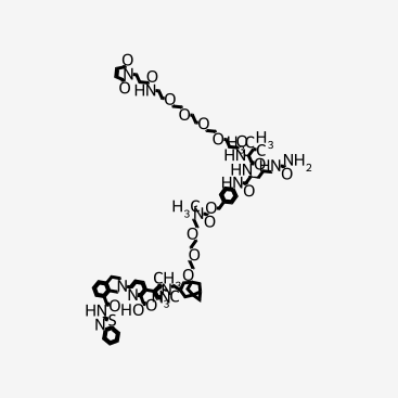 Cc1c(-c2ccc(N3CCc4cccc(C(=O)Nc5nc6ccccc6s5)c4C3)nc2C(=O)O)cnn1CC1(C)CC2(OCCOCCOCCN(C)C(=O)OCc3ccc(NC(=O)[C@H](CCCNC(N)=O)NC(=O)[C@@H](NC(=O)CCOCCOCCOCCOCCNC(=O)CCN4C(=O)C=CC4=O)C(C)C)cc3)CC3CC3(C1)C2